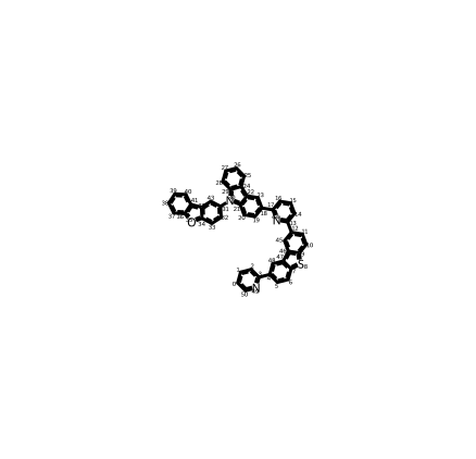 c1ccc(-c2ccc3sc4ccc(-c5cccc(-c6ccc7c(c6)c6ccccc6n7-c6ccc7oc8ccccc8c7c6)n5)cc4c3c2)nc1